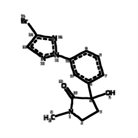 CN1CCC(O)(c2cccc(-n3ncc(Br)n3)c2)C1=O